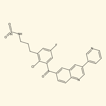 O=C(c1ccc2ncc(-c3cccnc3)cc2c1)c1cc(F)cc(CCCN[SH](=O)=O)c1Cl